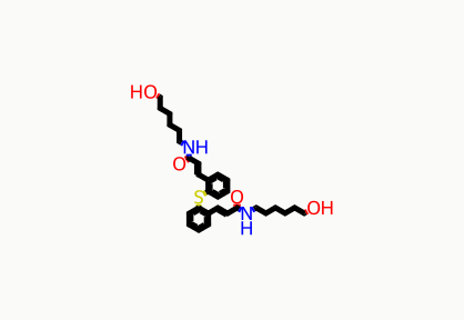 O=C(C=Cc1ccccc1Sc1ccccc1C=CC(=O)NCCCCCCO)NCCCCCCO